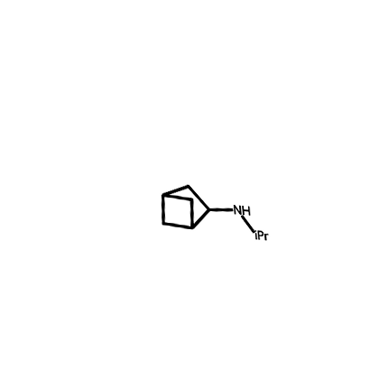 CC(C)NC1CC2CC1C2